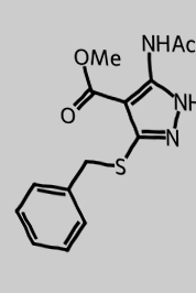 COC(=O)c1c(SCc2ccccc2)n[nH]c1NC(C)=O